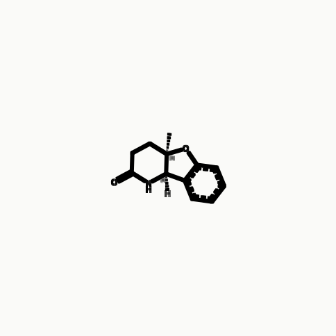 C[C@@]12CCC(=O)N[C@@H]1c1ccccc1O2